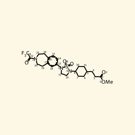 COC(=O)CCC1CCC(N2CCN(c3ccc4c(c3)CCN(C(=O)C(F)(F)F)CC4)S2(=O)=O)CC1